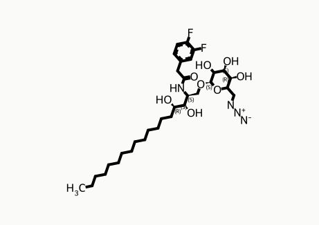 CCCCCCCCCCCCCC[C@@H](O)[C@@H](O)[C@H](CO[C@H]1OC(CN=[N+]=[N-])[C@H](O)[C@H](O)C1O)NC(=O)Cc1ccc(F)c(F)c1